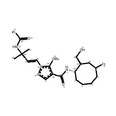 CCC1CCCC[C@H](NC(=O)c2cnn(/C=C/C(C)(C)NC(=O)C(C)C)c2OCC(C)C)C(CO)C1